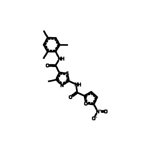 Cc1cc(C)c(NC(=O)c2sc(NC(=O)c3ccc([N+](=O)[O-])o3)nc2C)c(C)c1